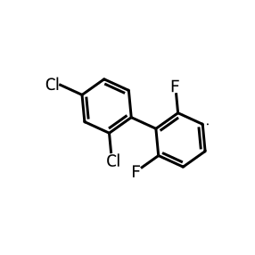 Fc1[c]ccc(F)c1-c1ccc(Cl)cc1Cl